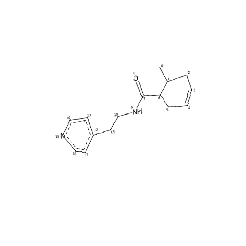 CC1CC=CCC1C(=O)NCCc1ccncc1